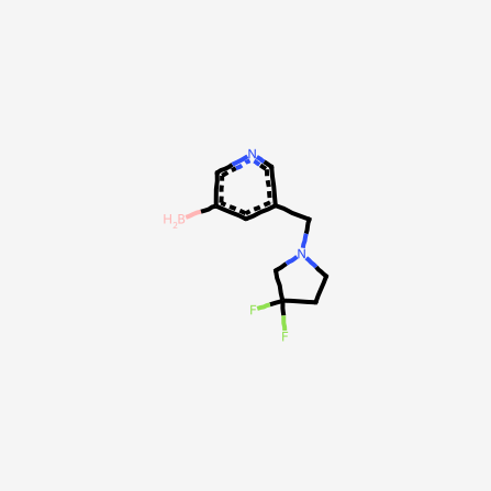 Bc1cncc(CN2CCC(F)(F)C2)c1